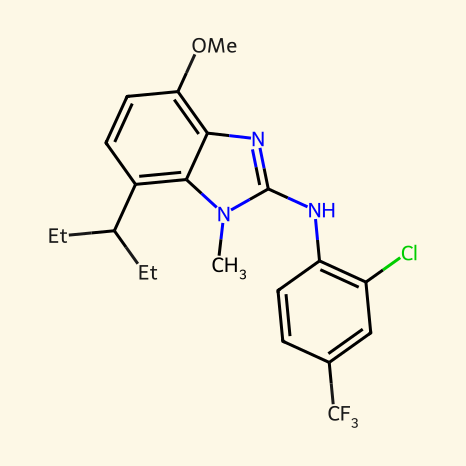 CCC(CC)c1ccc(OC)c2nc(Nc3ccc(C(F)(F)F)cc3Cl)n(C)c12